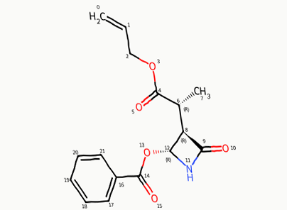 C=CCOC(=O)[C@H](C)[C@H]1C(=O)N[C@@H]1OC(=O)c1ccccc1